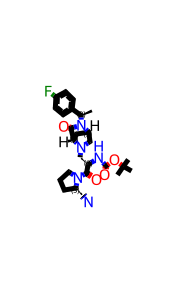 C[C@H](c1ccc(F)cc1)N1C(=O)[C@@H]2C[C@H]1CN2C[C@H](NC(=O)OC(C)(C)C)C(=O)N1CCC[C@H]1C#N